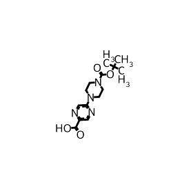 CC(C)(C)OC(=O)N1CCN(c2cnc(C(=O)O)cn2)CC1